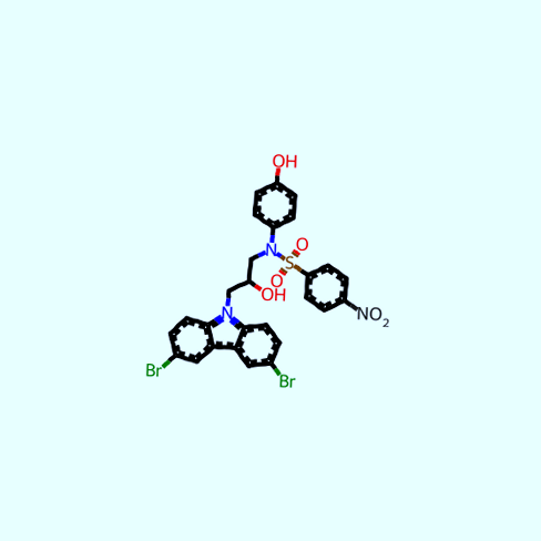 O=[N+]([O-])c1ccc(S(=O)(=O)N(CC(O)Cn2c3ccc(Br)cc3c3cc(Br)ccc32)c2ccc(O)cc2)cc1